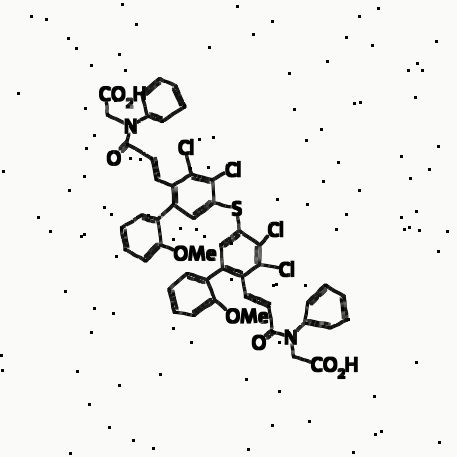 COc1ccccc1-c1cc(Sc2cc(-c3ccccc3OC)c(/C=C/C(=O)N(CC(=O)O)c3ccccc3)c(Cl)c2Cl)c(Cl)c(Cl)c1/C=C/C(=O)N(CC(=O)O)c1ccccc1